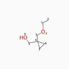 CCOCC1(CO)CC1